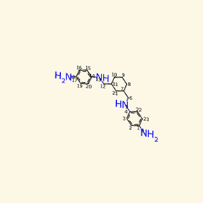 Nc1ccc(NCC2CCCC(CNc3ccc(N)cc3)C2)cc1